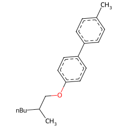 CCCCC(C)COc1ccc(-c2ccc(C)cc2)cc1